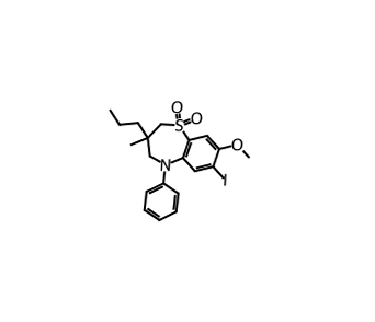 CCCC1(C)CN(c2ccccc2)c2cc(I)c(OC)cc2S(=O)(=O)C1